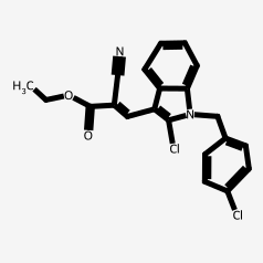 CCOC(=O)C(C#N)=Cc1c(Cl)n(Cc2ccc(Cl)cc2)c2ccccc12